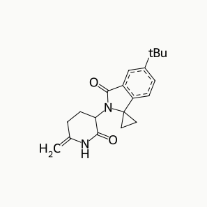 C=C1CCC(N2C(=O)c3cc(C(C)(C)C)ccc3C23CC3)C(=O)N1